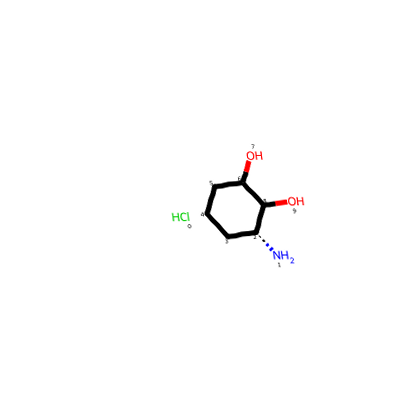 Cl.N[C@@H]1CCCC(O)C1O